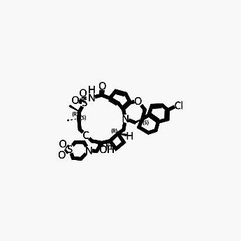 C[C@@H]1[C@@H](C)CCC[C@@](O)(CN2CCS(=O)(=O)CC2)[C@@H]2CC[C@H]2CN2C[C@@]3(CCCc4cc(Cl)ccc43)COc3ccc(cc32)C(=O)NS1(=O)=O